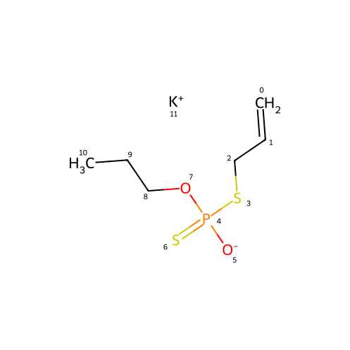 C=CCSP([O-])(=S)OCCC.[K+]